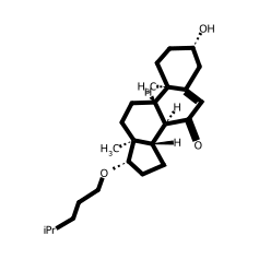 CC(C)CCCO[C@H]1CC[C@H]2[C@@H]3C(=O)C=C4C[C@@H](O)CC[C@]4(C)[C@H]3CC[C@]12C